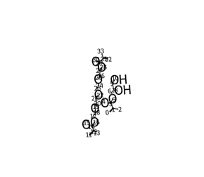 C=C(C)C(=O)OCC(O)CO.C=C(C)C(=O)OCCOCCOCCOCCOC(=O)C(=C)C